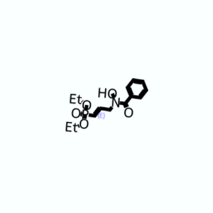 CCOP(=O)(/C=C/CN(O)C(=O)c1ccccc1)OCC